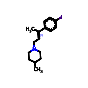 C/C(=C\CN1CCC(C)CC1)c1ccc(I)cc1